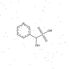 O=S(=O)(O)C(O)c1cccnc1